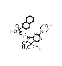 CN1C(=O)C(C)(C)c2cnc(N3CCNCC3)nc21.O=S(=O)(O)c1ccc2ccccc2c1